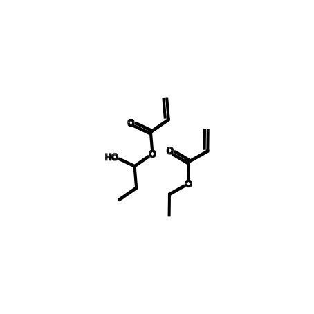 C=CC(=O)OC(O)CC.C=CC(=O)OCC